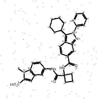 CCOC(=O)c1cc2cc(NC(=O)C3(NC(=O)c4ccc5c(C6CCCCC6)n(-c6ccccn6)nc5c4)CCC3)ccc2n1C